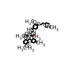 COc1ccc(OC)c(C(c2c(C)cc(C)cc2C)N(C(=O)O)c2ccnc(Nc3ccc(OCCN4CCN(C)CC4)c(OC)c3)n2)c1